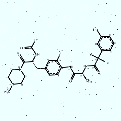 CCC(=O)N[C@H](Cc1ccc(NC(=O)[C@H](C)NC(=O)C(F)(F)c2cccc(O)c2)c(F)c1)C(=O)N1CCN(C)CC1